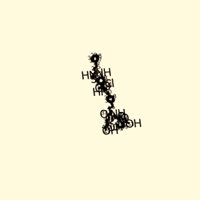 C[C@H](NC(CCc1ccc(CNS(=O)(=O)c2cc3c(cc2Cl)NC(CCc2ccccc2)NS3)cc1)C(=O)OC[C@@H](O)CO)C(=O)N1CCC[C@H]1C(=O)O